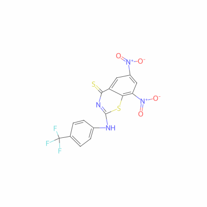 O=[N+]([O-])c1cc([N+](=O)[O-])c2sc(Nc3ccc(C(F)(F)F)cc3)nc(=S)c2c1